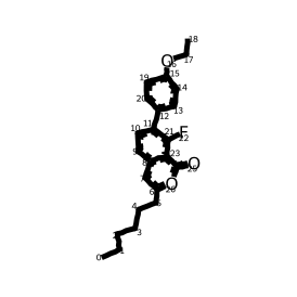 CCCCCCc1cc2ccc(-c3ccc(OCC)cc3)c(F)c2c(=O)o1